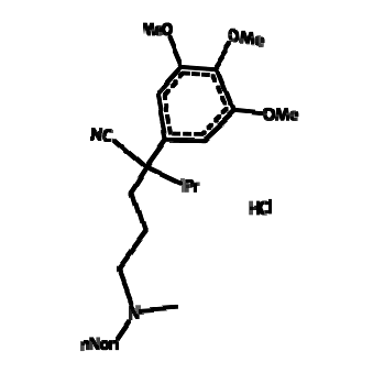 CCCCCCCCCN(C)CCCC(C#N)(c1cc(OC)c(OC)c(OC)c1)C(C)C.Cl